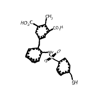 Cc1c(C(=O)O)cc(-c2ccccc2NS(=O)(=O)c2ccc(O)cc2)cc1C(=O)O